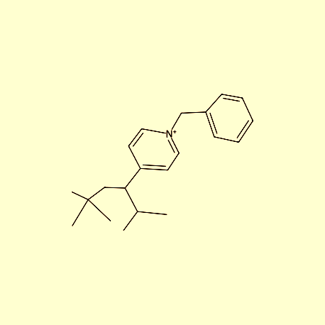 CC(C)C(CC(C)(C)C)c1cc[n+](Cc2ccccc2)cc1